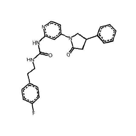 O=C(NCCc1ccc(F)cc1)Nc1cc(N2CC(c3ccccc3)CC2=O)ccn1